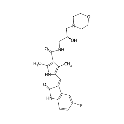 Cc1[nH]c(C=C2C(=O)Nc3ccc(F)cc32)c(C)c1C(=O)NC[C@H](O)CN1CCOCC1